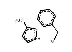 ClCc1ccccc1.O=C(O)c1cc[nH]n1